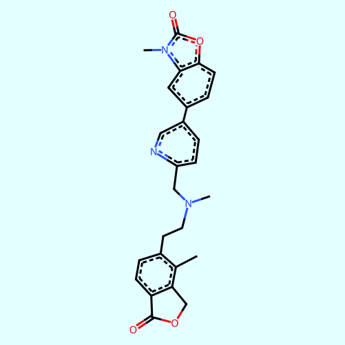 Cc1c(CCN(C)Cc2ccc(-c3ccc4oc(=O)n(C)c4c3)cn2)ccc2c1COC2=O